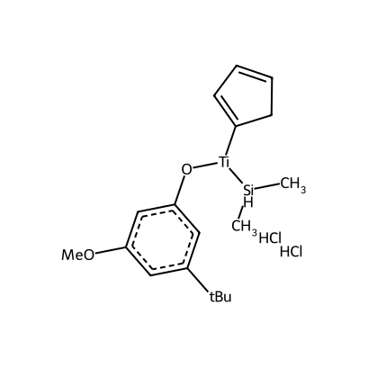 COc1cc([O][Ti]([C]2=CC=CC2)[SiH](C)C)cc(C(C)(C)C)c1.Cl.Cl